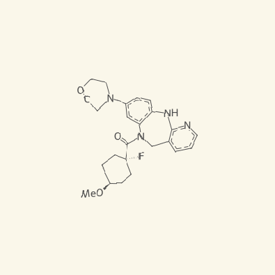 CO[C@H]1CC[C@@](F)(C(=O)N2Cc3cccnc3Nc3ccc(N4CCOCC4)cc32)CC1